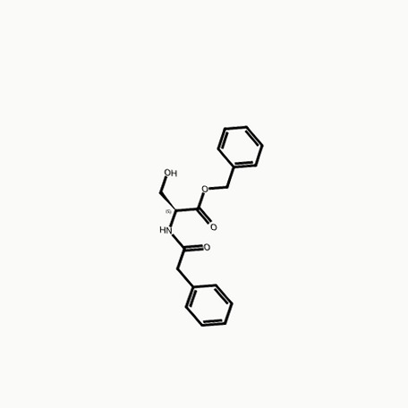 O=C(Cc1ccccc1)N[C@@H](CO)C(=O)OCc1ccccc1